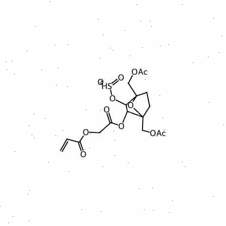 C=CC(=O)OCC(=O)OC1C(O[SH](=O)=O)C2(COC(C)=O)CCC1(COC(C)=O)O2